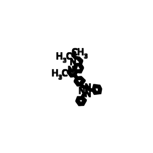 Cc1cc(-c2ccc(-c3nc(-c4ccccc4)nc(-c4ccccc4)n3)cc2)c2ccc3ccc(C(C)C)nc3c2n1